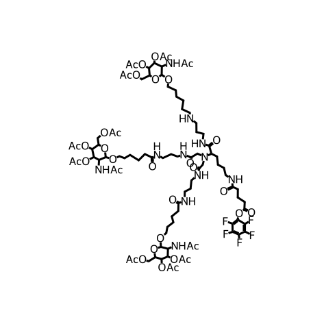 CC(=O)NC1C(OCCCCCCNCCCNC(=O)C(CCCCNC(=O)CCCC(=O)Oc2c(F)c(F)c(F)c(F)c2F)N(CC(=O)NCCCNC(=O)CCCCCOC2OC(COC(C)=O)C(OC(C)=O)C(OC(C)=O)C2NC(C)=O)CC(=O)NCCCNC(=O)CCCCCOC2OC(COC(C)=O)C(OC(C)=O)C(OC(C)=O)C2NC(C)=O)OC(COC(C)=O)C(OC(C)=O)C1OC(C)=O